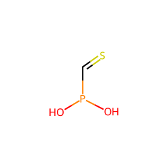 OP(O)C=S